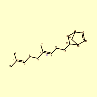 CC(C)=CCC/C(C)=C/CCC1CC2C=CC1C2